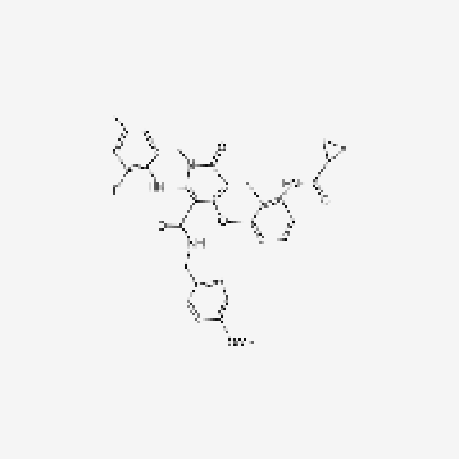 COc1ccc(CNC(=O)c2c(Oc3cccc(NC(=O)C4CC4)c3C)cc(=O)n(C)c2Nc2ccc(I)cc2F)cc1